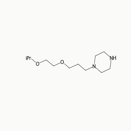 CC(C)OCCOCCCN1CCNCC1